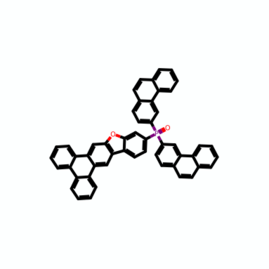 O=P(c1ccc2c(c1)oc1cc3c4ccccc4c4ccccc4c3cc12)(c1ccc2ccc3ccccc3c2c1)c1ccc2ccc3ccccc3c2c1